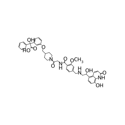 COc1cc(CNCC(O)c2ccc(O)c3[nH]c(=O)ccc23)ccc1C(=O)NCC(=O)N1CCC(COc2cccc(C(O)(C(=O)O)c3ccccc3)c2)CC1